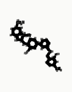 Cc1ccc(COc2cccc(-c3ccc(Cc4nc5ccc(C(=O)O)cc5n4C(C)C)c(F)c3)n2)c(F)c1